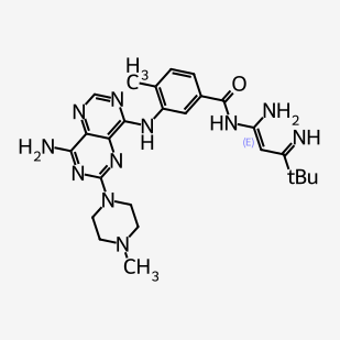 Cc1ccc(C(=O)N/C(N)=C/C(=N)C(C)(C)C)cc1Nc1ncnc2c(N)nc(N3CCN(C)CC3)nc12